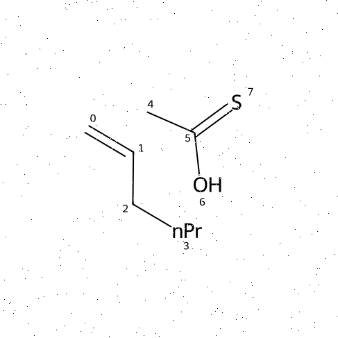 C=CCCCC.CC(O)=S